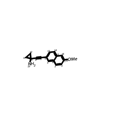 COc1ccc2cc(C#CC3(N)CC3)ccc2c1